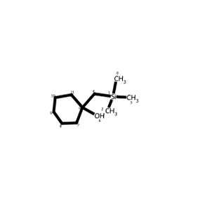 C[Si](C)(C)CC1(O)CCCCC1